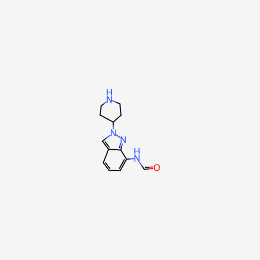 O=CNc1cccc2cn(C3CCNCC3)nc12